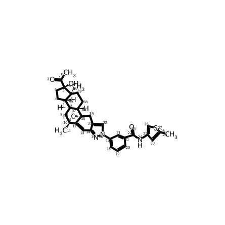 CC(=O)[C@@]1(O)CC[C@H]2[C@@H]3C[C@H](C)C4=Cc5nn(-c6cccc(C(=O)Nc7csc(C)c7)c6)cc5C[C@]4(C)[C@H]3CC[C@@]21C